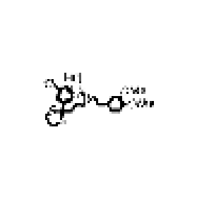 COc1ccc(CCN(C)CCCC2(c3cccc(Cl)c3)SCCCS2)cc1OC.Cl